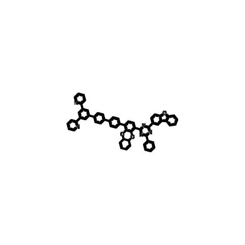 C1=CC2Oc3c(-c4ccc(-c5ccc(-c6cc(-c7ccccn7)cc(-c7ccccn7)c6)cc5)cc4)ccc(-c4nc(-c5ccccc5)nc(-c5ccc6oc7ccccc7c6c5)n4)c3OC2C=C1